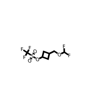 O=S(=O)(OC1CC(COC(F)F)C1)C(F)(F)F